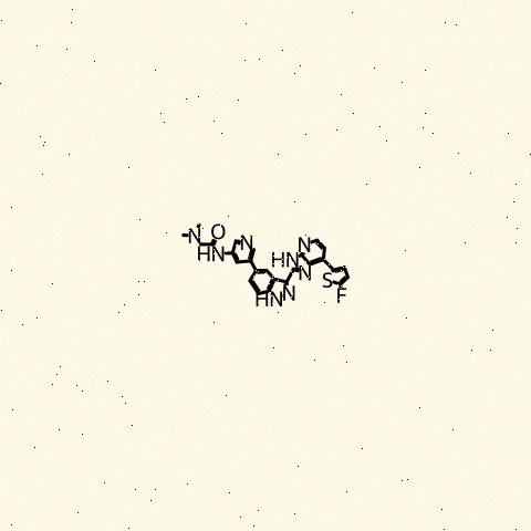 CN(C)CC(=O)Nc1cncc(-c2ccc3[nH]nc(-c4nc5c(-c6ccc(F)s6)ccnc5[nH]4)c3c2)c1